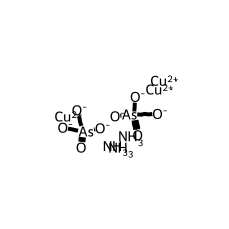 N.N.N.O=[As]([O-])([O-])[O-].O=[As]([O-])([O-])[O-].[Cu+2].[Cu+2].[Cu+2]